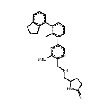 COc1nc(-c2cccc(-c3cccc4c3CCC4)c2C)cnc1CNCC1CCC(=O)N1